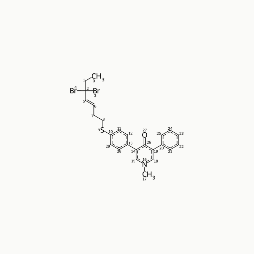 CCC(Br)(Br)C=CCCSc1ccc(-c2cn(C)cc(-c3ccccc3)c2=O)cc1